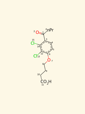 CCCC(=O)c1ccc(OCCCC(=O)O)c(Cl)c1Cl